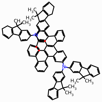 CC1(C)C2=C(CCC=C2)c2ccc(N(c3ccc4c(c3)C(C)(C)C3=C4C=CCC3)c3ccc4c(-c5ccccc5-c5ccccc5)c5cc(N(c6ccc7c(c6)C(C)(C)c6ccccc6-7)c6ccc7c(c6)C(C)(C)c6ccccc6-7)ccc5c(-c5ccccc5-c5ccccc5)c4c3)cc21